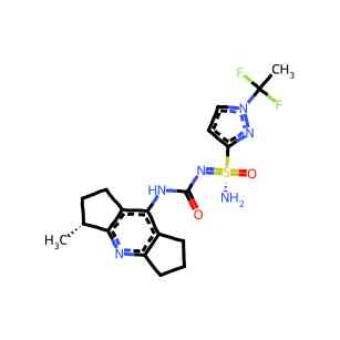 C[C@@H]1CCc2c1nc1c(c2NC(=O)N=[S@](N)(=O)c2ccn(C(C)(F)F)n2)CCC1